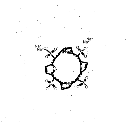 O=S(=O)([O-])c1c2nc(c(S(=O)(=O)[O-])c3ccc([nH]3)c(S(=O)(=O)[O-])c3nc(c(S(=O)(=O)[O-])c4ccc1[nH]4)C=C3)C=C2.[Na+].[Na+].[Na+].[Na+]